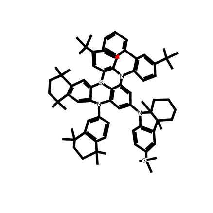 CC(C)(C)c1ccc2c(c1)B1c3cc4c(cc3N(c3ccc5c(c3)C(C)(C)CCC5(C)C)c3cc(N5c6ccc([Si](C)(C)C)cc6C6(C)CCCCC56C)cc(c31)N2c1ccc(C(C)(C)C)cc1-c1ccccc1)C(C)(C)CCC4(C)C